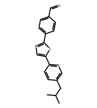 CC(C)Cc1ccc(-c2cnc(-c3ccc(C=O)cc3)s2)nc1